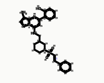 Bc1cnn2c(NCC3CCCN(S(=O)(=O)/C=C/c4ccccc4)C3)cc(-c3ccccc3O)nc12